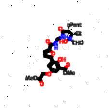 CCCCC[C@@H](C(=O)NCNC(=O)c1ccc(-c2cc(OCC(=O)OC)cc(C(=O)OC)c2O)o1)[C@@H](CC)N(O)C=O